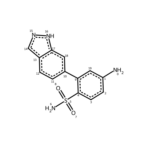 Nc1ccc(S(N)(=O)=O)c(-c2ccc3cn[nH]c3c2)c1